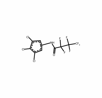 O=C(Nc1cc(Cl)c(Cl)c(Cl)c1)C(F)(F)C(F)(F)C(F)(F)F